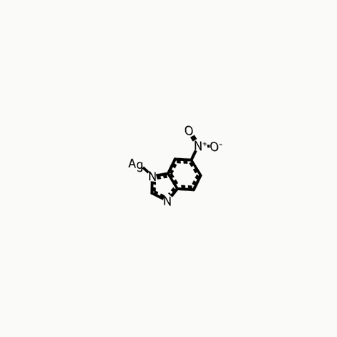 O=[N+]([O-])c1ccc2nc[n]([Ag])c2c1